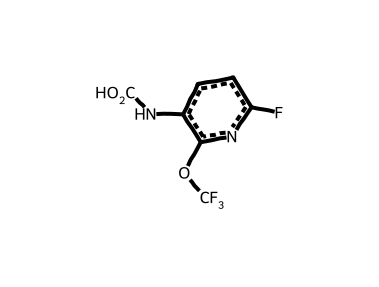 O=C(O)Nc1ccc(F)nc1OC(F)(F)F